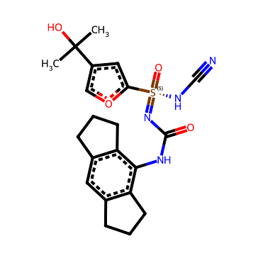 CC(C)(O)c1coc([S@@](=O)(=NC(=O)Nc2c3c(cc4c2CCC4)CCC3)NC#N)c1